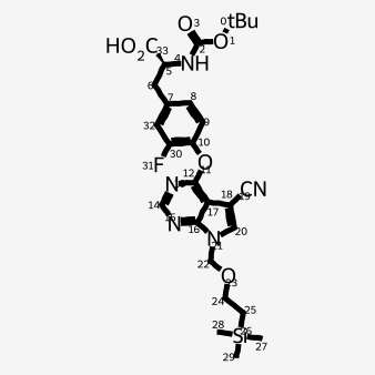 CC(C)(C)OC(=O)N[C@@H](Cc1ccc(Oc2ncnc3c2c(C#N)cn3COCC[Si](C)(C)C)c(F)c1)C(=O)O